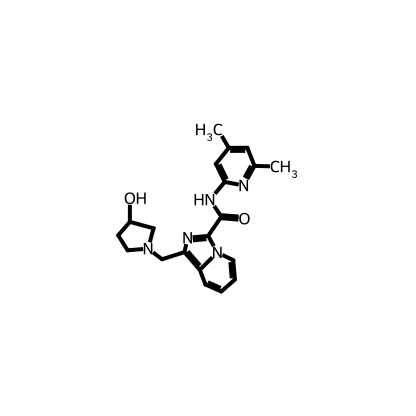 Cc1cc(C)nc(NC(=O)c2nc(CN3CCC(O)C3)c3ccccn23)c1